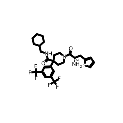 N[C@@H](Cc1cccs1)C(=O)N1CCC(C(=O)NCC2CCCCC2)(c2cc(C(F)(F)F)cc(C(F)(F)F)c2)CC1